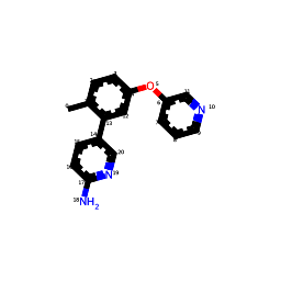 Cc1ccc(Oc2cccnc2)cc1-c1ccc(N)nc1